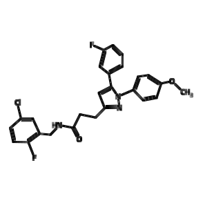 COc1ccc(-n2nc(CCC(=O)NCc3cc(Cl)ccc3F)cc2-c2cccc(F)c2)cc1